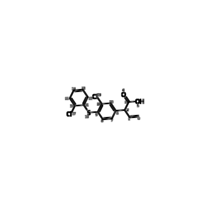 C=CC(C(=O)O)c1ccc(Sc2ccccc2Cl)c(Cl)c1